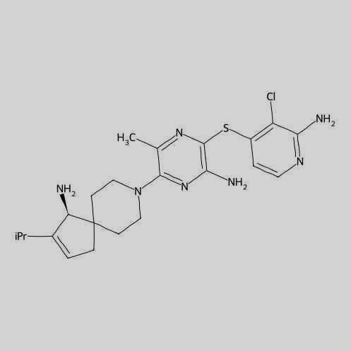 Cc1nc(Sc2ccnc(N)c2Cl)c(N)nc1N1CCC2(CC=C(C(C)C)[C@H]2N)CC1